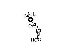 N=C(N)c1ccc(N2C[C@@H](CN3CCN(CCC(=O)O)CC3)OC2=O)cc1